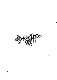 COC(=O)OC1C(OC)C(OC(=O)c2cc(OC)c(OC)c(OC)c2)C[C@H]2CN3CCc4c([nH]c5cc(OC)ccc45)[C@@H]3C[C@H]12